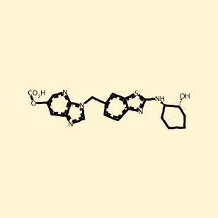 O=C(O)Oc1cnc2c(c1)ncn2Cc1ccc2nc(N[C@@H]3CCCC[C@H]3O)sc2c1